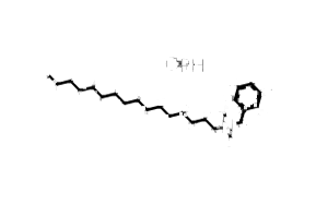 CCCCCCCCCCCCCCCC[N+](C)(C)Cc1ccccc1.O=P